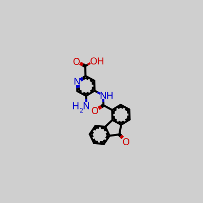 Nc1cnc(C(=O)O)cc1NC(=O)c1cccc2c1-c1ccccc1C2=O